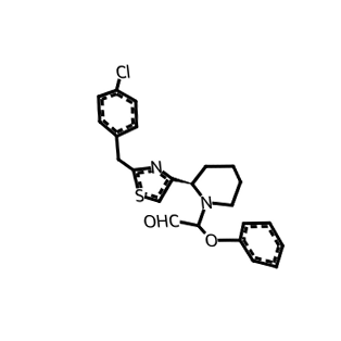 O=CC(Oc1ccccc1)N1CCCC[C@@H]1c1csc(Cc2ccc(Cl)cc2)n1